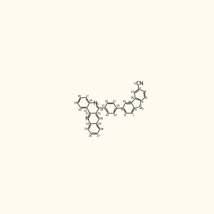 N#Cc1ccc2sc3ccc(-c4ccc(-c5nc6ccccc6c6nc7ccccc7cc56)cc4)cc3c2c1